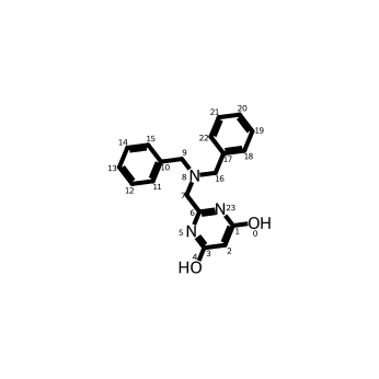 Oc1cc(O)nc(CN(Cc2ccccc2)Cc2ccccc2)n1